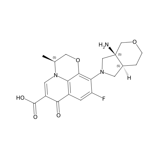 C[C@H]1COc2c(N3C[C@@H]4CCOC[C@@]4(N)C3)c(F)cc3c(=O)c(C(=O)O)cn1c23